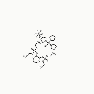 Br[P+](N1CCCC1)(N1CCCC1)N1CCCC1.CCOP(=S)(OCC)SC1OCCOC1SP(=S)(OCC)OCC.F[P-](F)(F)(F)(F)F